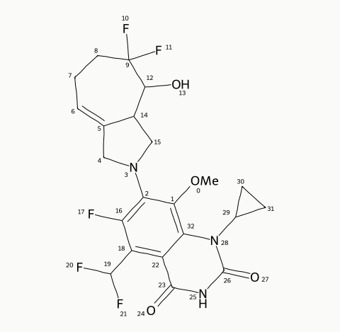 COc1c(N2CC3=CCCC(F)(F)C(O)C3C2)c(F)c(C(F)F)c2c(=O)[nH]c(=O)n(C3CC3)c12